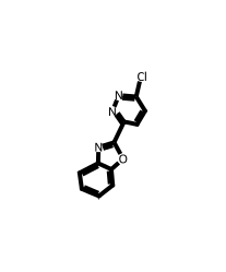 Clc1ccc(-c2nc3cc[c]cc3o2)nn1